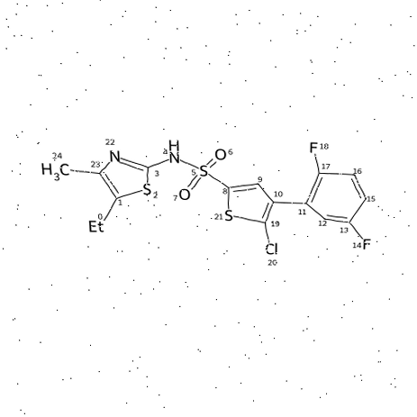 CCc1sc(NS(=O)(=O)c2cc(-c3cc(F)ccc3F)c(Cl)s2)nc1C